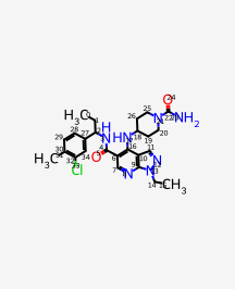 CCC(NC(=O)c1cnc2c(cnn2CC)c1NC1CCN(C(N)=O)CC1)c1ccc(C)c(Cl)c1